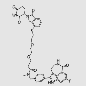 CN(Cc1ccc(-c2[nH]c3cc(F)cc4c3c2CCNC4=O)cc1)C(=O)CCOCCOCCSc1cccc2c1CN(C1CCC(=O)NC1=O)C2=O